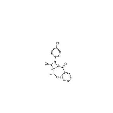 CC(O)[C@@H]1C(=O)N(c2ccc(O)cc2)[C@H]1C(=O)c1ccccc1